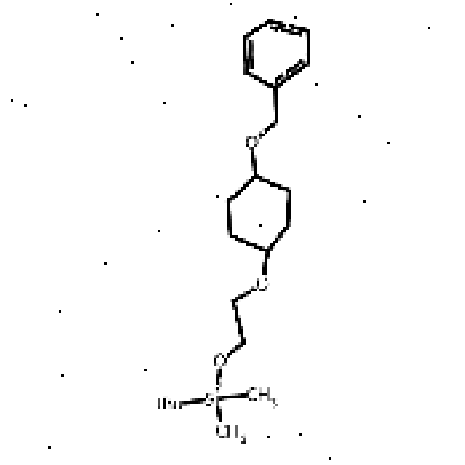 CC(C)(C)[Si](C)(C)OCCOC1CCC(OCc2ccccc2)CC1